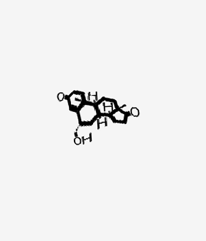 C[C@]12C=CC(=O)C=C1[C@@H](CO)C[C@@H]1[C@@H]2CC[C@]2(C)C(=O)CC[C@@H]12